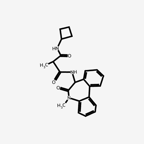 CC(C(=O)NC1CCC1)C(=O)NC1C(=O)N(C)c2ccccc2-c2ccccc21